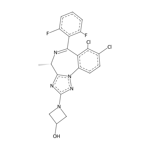 C[C@@H]1N=C(c2c(F)cccc2F)c2c(ccc(Cl)c2Cl)-n2nc(N3CC(O)C3)nc21